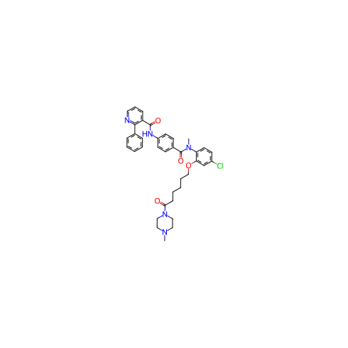 CN1CCN(C(=O)CCCCCOc2cc(Cl)ccc2N(C)C(=O)c2ccc(NC(=O)c3cccnc3-c3ccccc3)cc2)CC1